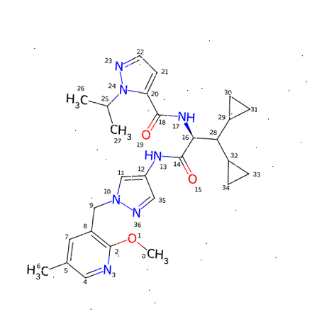 COc1ncc(C)cc1Cn1cc(NC(=O)[C@@H](NC(=O)c2ccnn2C(C)C)C(C2CC2)C2CC2)cn1